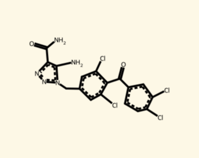 NC(=O)c1nnn(Cc2cc(Cl)c(C(=O)c3ccc(Cl)c(Cl)c3)c(Cl)c2)c1N